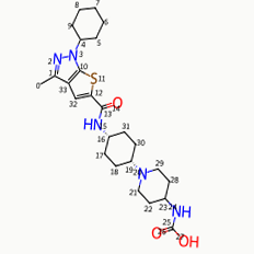 Cc1nn(C2CCCCC2)c2sc(C(=O)N[C@H]3CC[C@@H](N4CCC(NC(=O)O)CC4)CC3)cc12